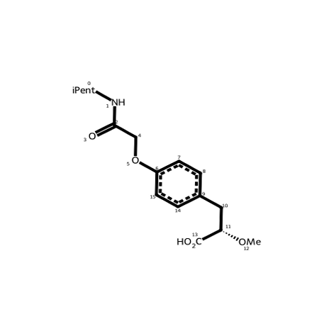 CCCC(C)NC(=O)COc1ccc(C[C@H](OC)C(=O)O)cc1